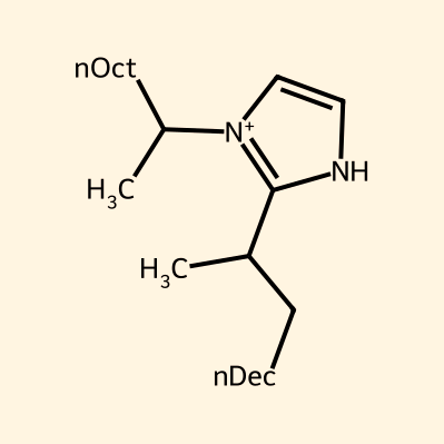 CCCCCCCCCCCC(C)c1[nH]cc[n+]1C(C)CCCCCCCC